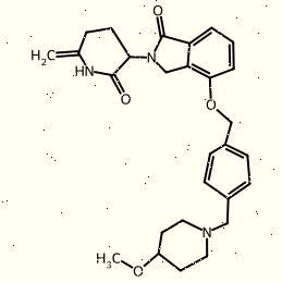 C=C1CCC(N2Cc3c(OCc4ccc(CN5CCC(OC)CC5)cc4)cccc3C2=O)C(=O)N1